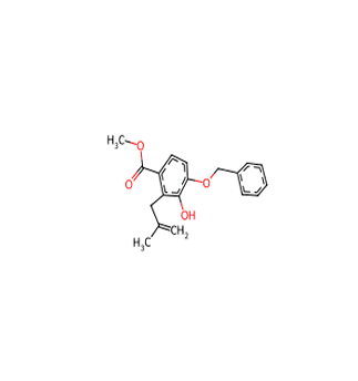 C=C(C)Cc1c(C(=O)OC)ccc(OCc2ccccc2)c1O